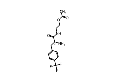 CC(=O)OCCNC(=O)[C@@H](N)Cc1ccc(C(F)(F)F)cc1